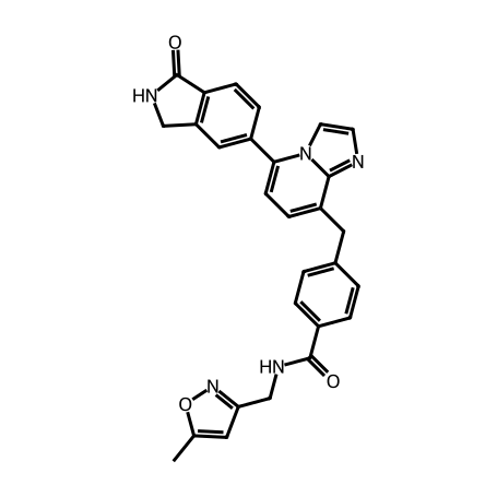 Cc1cc(CNC(=O)c2ccc(Cc3ccc(-c4ccc5c(c4)CNC5=O)n4ccnc34)cc2)no1